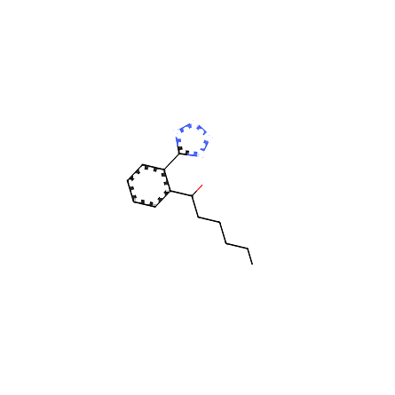 CCCCCC(O)c1ccccc1-c1nnn[nH]1